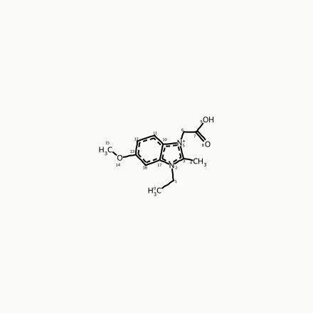 CCn1c(C)[n+](CC(=O)O)c2ccc(OC)cc21